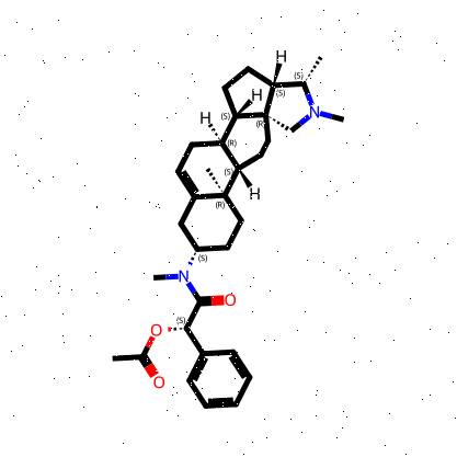 CC(=O)O[C@H](C(=O)N(C)[C@H]1CC[C@@]2(C)C(=CC[C@H]3[C@@H]4CC[C@@H]5[C@H](C)N(C)C[C@@]54CC[C@@H]32)C1)c1ccccc1